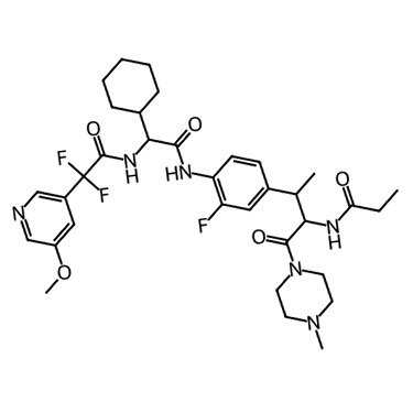 CCC(=O)NC(C(=O)N1CCN(C)CC1)C(C)c1ccc(NC(=O)C(NC(=O)C(F)(F)c2cncc(OC)c2)C2CCCCC2)c(F)c1